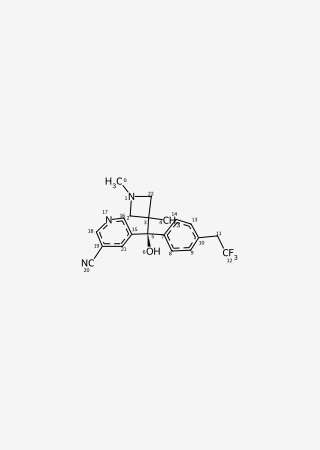 CN1CC(C)([C@](O)(c2ccc(CC(F)(F)F)cc2)c2cncc(C#N)c2)C1